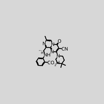 Cc1cn2c(=O)c(C#N)c(N3CCC(C)(C)CC3)nc2c([C@@H](C)Nc2ccccc2C(=O)O)n1